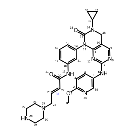 COc1ccc(Nc2ncc3c(n2)N(c2cccc(NC(=O)/C=C/CN4CCNCC4)c2)C(=O)N(C2CC2)C3)cn1